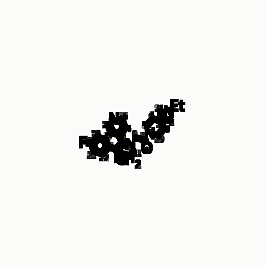 CCN1CC2(CCN(C(=O)CN(CCl)/C(=C(\N)c3ccc(F)cc3)c3ccncc3)CC2)C1